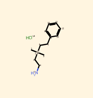 C[Si](C)(CCN)CCc1ccccc1.Cl